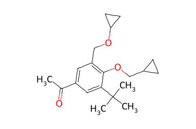 CC(=O)c1cc(COC2CC2)c(OCC2CC2)c(C(C)(C)C)c1